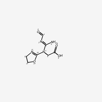 NC(=NC=O)N(CC(=O)O)C1=NCCO1